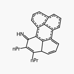 CCCC1=C(CCC)C2C=CC=c3c2c(c2cccc4cccc3c42)C1=N